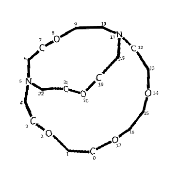 C1COCCN2CCOCCN(CCOCCO1)CCOCC2